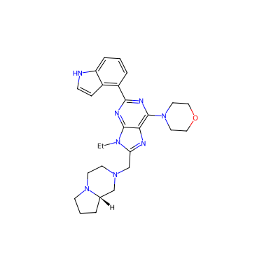 CCn1c(CN2CCN3CCC[C@H]3C2)nc2c(N3CCOCC3)nc(-c3cccc4[nH]ccc34)nc21